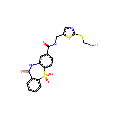 O=C(O)CSc1ncc(CNC(=O)c2ccc3c(c2)NC(=O)c2ccccc2S3(=O)=O)s1